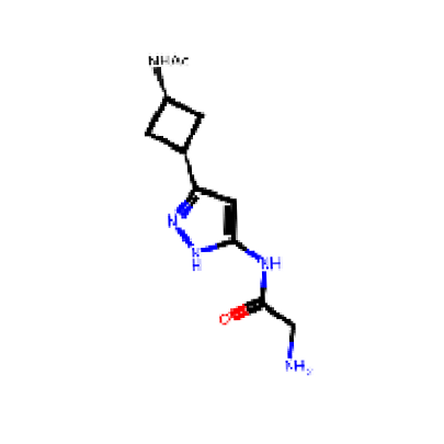 CC(=O)N[C@H]1C[C@@H](c2cc(NC(=O)CN)[nH]n2)C1